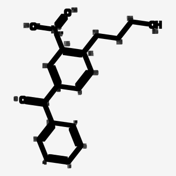 O=C(c1ccccc1)c1ccc(CCCO)c([N+](=O)[O-])c1